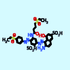 C=CS(=O)(=O)CCCC(=O)Nc1cc(/N=N/c2c(N)ccc3cc(S(=O)(=O)O)cc(O)c23)c(S(=O)(=O)O)cc1/N=N/c1ccc(S(=O)(=O)C=C)cc1